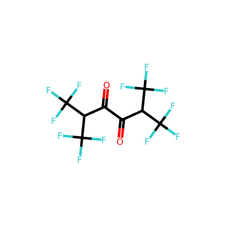 O=C(C(=O)C(C(F)(F)F)C(F)(F)F)C(C(F)(F)F)C(F)(F)F